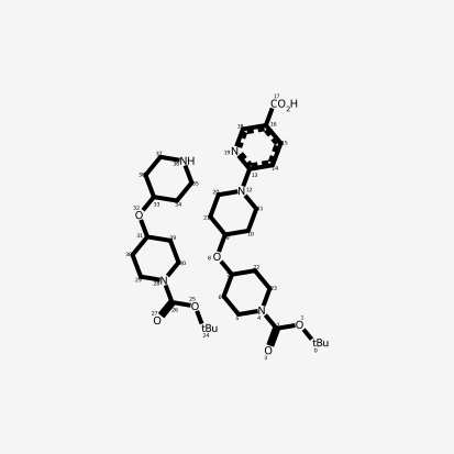 CC(C)(C)OC(=O)N1CCC(OC2CCN(c3ccc(C(=O)O)cn3)CC2)CC1.CC(C)(C)OC(=O)N1CCC(OC2CCNCC2)CC1